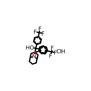 Cl.OC(c1ccc(C(F)(F)F)cc1)(c1ccc(C(F)(F)F)cc1)C1CC2CCCC(C1)N2Cc1ccccc1